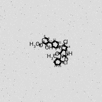 COc1cccc(-c2ccc(-n3c(Cl)cc4[nH]c(=O)n(-c5c(C)cccc5Cl)c(=O)c43)cc2)c1O